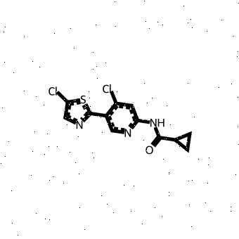 O=C(Nc1cc(Cl)c(-c2ncc(Cl)s2)cn1)C1CC1